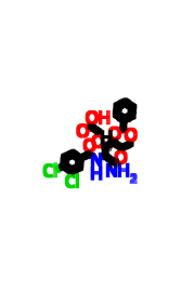 N[C@@H]1OC2COC(c3ccccc3)O[C@@H]2[C@H](OCC(=O)O)C1NC(=O)c1ccc(Cl)c(Cl)c1